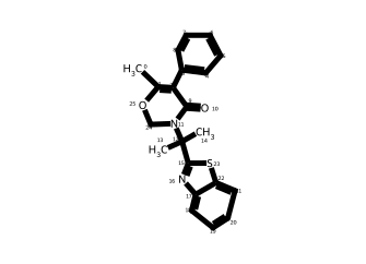 CC1=C(c2ccccc2)C(=O)N(C(C)(C)c2nc3ccccc3s2)CO1